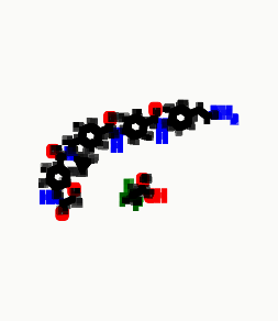 NCCc1ccc(NC(=O)c2ccc(NC(=O)c3ccc(CN(C(=O)c4ccc5c(c4)OCC(=O)N5)C4CC4)cc3)cc2)cc1.O=C(O)C(F)(F)F